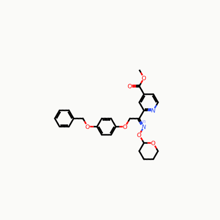 COC(=O)c1ccnc(/C(COc2ccc(OCc3ccccc3)cc2)=N/OC2CCCCO2)c1